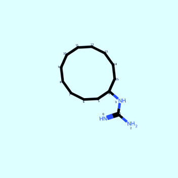 N=C(N)NC1CCCCCCCCCCC1